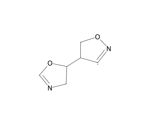 [C]1=NOCC1C1CN=CO1